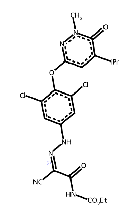 CCOC(=O)NC(=O)/C(C#N)=N\Nc1cc(Cl)c(Oc2cc(C(C)C)c(=O)n(C)n2)c(Cl)c1